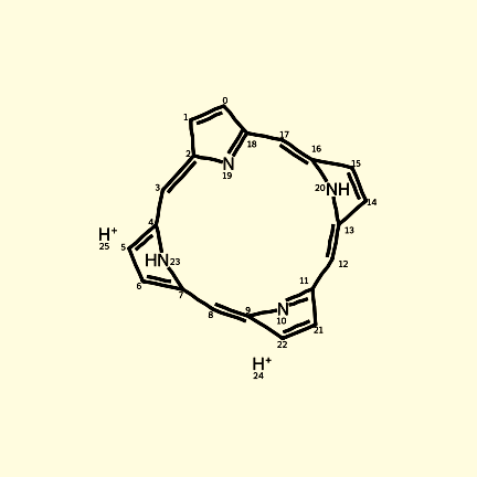 C1=Cc2cc3ccc(cc4nc(cc5ccc(cc1n2)[nH]5)C=C4)[nH]3.[H+].[H+]